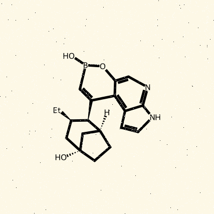 CC[C@@H]1C[C@]2(O)CC[C@@H](C2)[C@@H]1C1=CB(O)Oc2cnc3[nH]ccc3c21